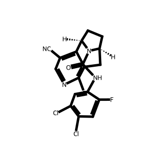 N#Cc1cnc(F)c2c1[C@H]1CC[C@@H](C2)N1C(=O)Nc1cc(Cl)c(Cl)cc1F